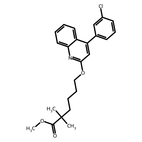 COC(=O)C(C)(C)CCCCOc1cc(-c2cccc(Cl)c2)c2ccccc2n1